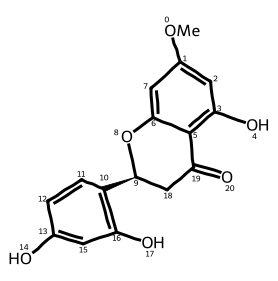 COc1cc(O)c2c(c1)O[C@H](c1ccc(O)cc1O)CC2=O